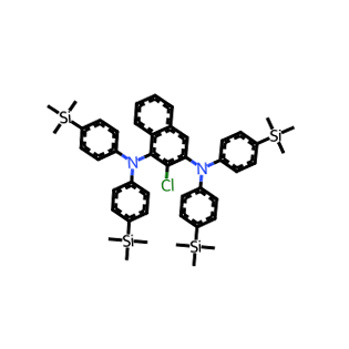 C[Si](C)(C)c1ccc(N(c2ccc([Si](C)(C)C)cc2)c2cc3ccccc3c(N(c3ccc([Si](C)(C)C)cc3)c3ccc([Si](C)(C)C)cc3)c2Cl)cc1